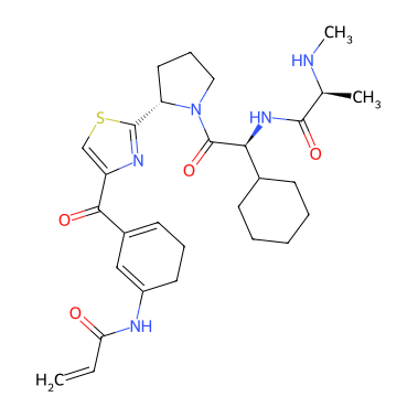 C=CC(=O)NC1=CC(C(=O)c2csc([C@@H]3CCCN3C(=O)[C@@H](NC(=O)[C@H](C)NC)C3CCCCC3)n2)=CCC1